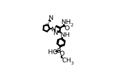 CCOB(O)c1ccc(Nc2nn(C3CCC[C@@H]3C#N)cc2C(N)=O)cc1